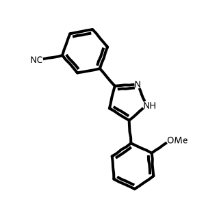 COc1ccccc1-c1cc(-c2cccc(C#N)c2)n[nH]1